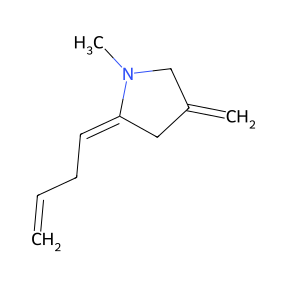 C=CC/C=C1\CC(=C)CN1C